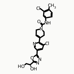 Cc1ccc(NC(=O)N2CC=C(c3ncc(-c4nnc([C@@H](O)CO)o4)cc3Cl)CC2)cc1Cl